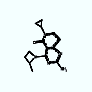 CC1CCN1c1nc(N)nc2ccn(C3CC3)c(=O)c12